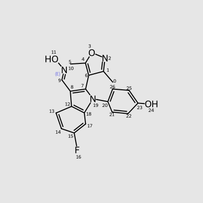 Cc1noc(C)c1-c1c(/C=N/O)c2ccc(F)cc2n1-c1ccc(O)cc1